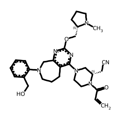 C=CC(=O)N1CCN(c2nc(OC[C@@H]3CCCN3C)nc3c2CCCN(c2ccccc2CO)C3)C[C@@H]1CC#N